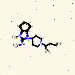 CCn1c(=NC)n(C2CCN(C(C)CCC(C)C)CC2)c2ccccc21